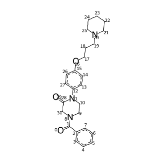 O=C(c1ccccc1)N1CCN(c2ccc(OCCCN3CCCCC3)cc2)C(=O)C1